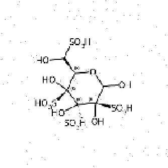 O=S(=O)(O)C(O)[C@H]1OC(O)[C@@](O)(S(=O)(=O)O)[C@](O)(S(=O)(=O)O)[C@@]1(O)S(=O)(=O)O